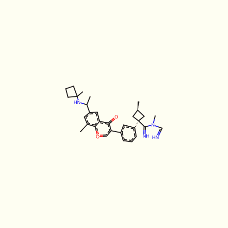 Cc1cc(C(C)NC2(C)CCC2)cc2c(=O)c(-c3cccc([C@]4(C(=N)N(C)C=N)C[C@@H](C)C4)c3)coc12